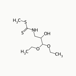 CCOC(OCC)C(O)CNC(=S)SC